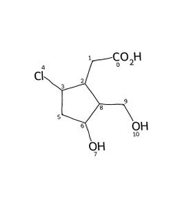 O=C(O)CC1C(Cl)CC(O)C1CO